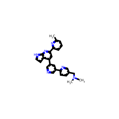 Cc1cccc(-c2cc(-c3cncc(-c4ccc(CN(C)C)cn4)c3)c3cc[nH]c3n2)n1